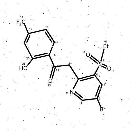 CCS(=O)(=O)c1cc(Br)cnc1CC(=O)c1ccc(C(F)(F)F)cc1O